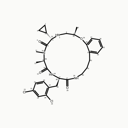 C[C@@H]1CN[C@@H](C2CC2)C(=O)N(C)[C@H](C)C(=O)N[C@H](Cc2ccc(Cl)cc2Cl)C(=O)NCCCc2ccccc2O1